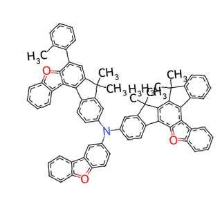 Cc1ccccc1-c1cc2c(c3c1oc1ccccc13)-c1ccc(N(c3ccc4c(c3)C(C)(C)c3c5c(c6c(oc7ccccc76)c3-4)-c3ccccc3C5(C)C)c3ccc4oc5ccccc5c4c3)cc1C2(C)C